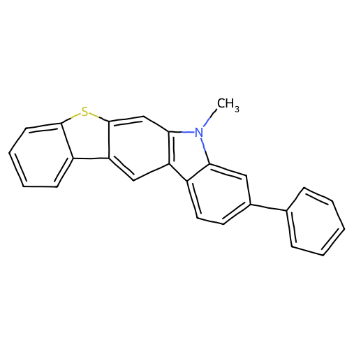 Cn1c2cc(-c3ccccc3)ccc2c2cc3c(cc21)sc1ccccc13